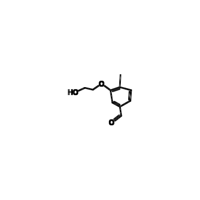 Cc1ccc(C=O)cc1OCCO